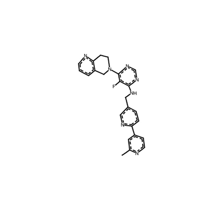 Cc1cc(-c2ccc(CNc3ncnc(N4CCc5ncccc5C4)c3F)cn2)ccn1